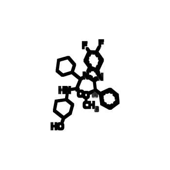 CO[C@H](c1ccccc1)c1nc2cc(F)c(F)cc2n1C(C(=O)NC1CCC(O)CC1)C1CCCCC1